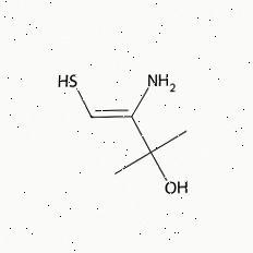 CC(C)(O)/C(N)=C/S